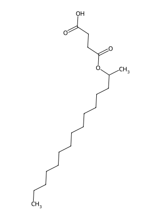 CCCCCCCCCCCCCC(C)OC(=O)CCC(=O)O